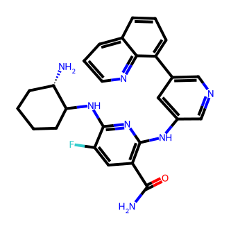 NC(=O)c1cc(F)c(NC2CCCC[C@@H]2N)nc1Nc1cncc(-c2cccc3cccnc23)c1